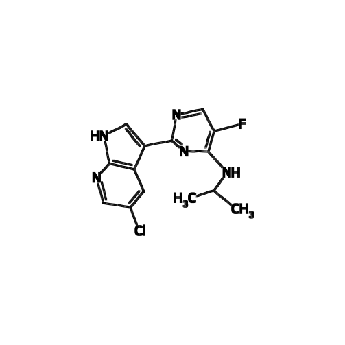 CC(C)Nc1nc(-c2c[nH]c3ncc(Cl)cc23)ncc1F